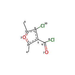 Cc1oc(C)c(C(=O)Cl)c1Cl